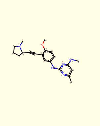 CNc1cc(C)nc(Nc2ccc(OC)c(C#CC3CCCN3C)c2)n1